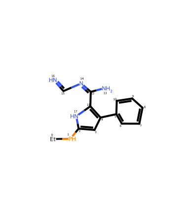 CCPc1cc(-c2ccccc2)c(/C(N)=N\C=N)[nH]1